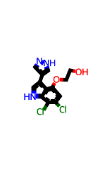 OCCOc1cc(Cl)c(Cl)c2[nH]cc(-c3cn[nH]c3)c12